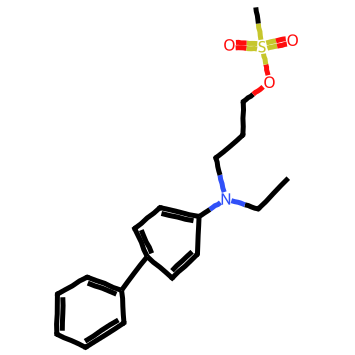 CCN(CCCOS(C)(=O)=O)c1ccc(-c2ccccc2)cc1